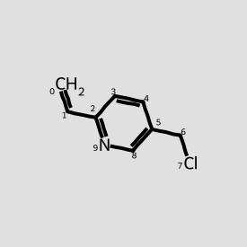 C=Cc1ccc(CCl)cn1